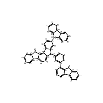 c1cc(-c2cccc3c2sc2ccccc23)cc(-n2c3cc(-n4c5ccccc5c5ccccc54)ccc3c3c4sc5ccccc5c4ccc32)c1